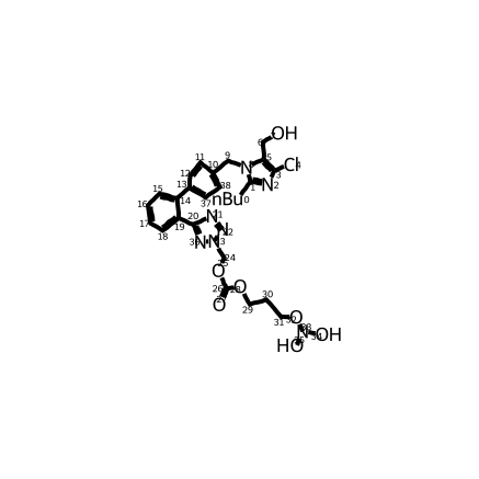 CCCCc1nc(Cl)c(CO)n1Cc1ccc(-c2ccccc2-c2nnn(COC(=O)OCCCON(O)O)n2)cc1